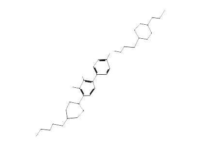 CCCCCC1CCC(c2ccc(-c3ccc(OCCCC4CCC(CCC)CC4)cc3)c(F)c2F)CC1